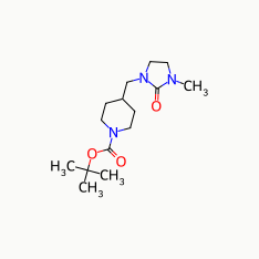 CN1CCN(CC2CCN(C(=O)OC(C)(C)C)CC2)C1=O